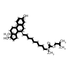 CC(C)COC(=O)N(C)CCCCCCCCC[C@@H]1Cc2cc(O)ccc2C2CC[C@@]3(C)C(CC[C@@H]3O)C21